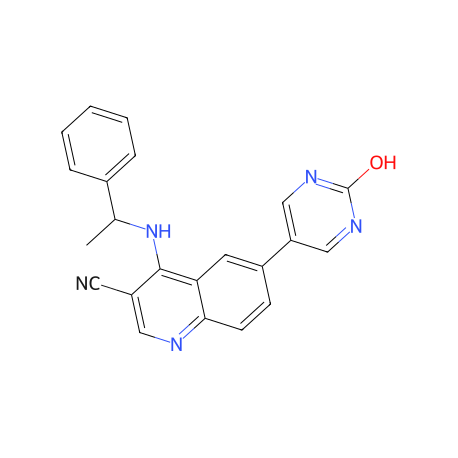 CC(Nc1c(C#N)cnc2ccc(-c3cnc(O)nc3)cc12)c1ccccc1